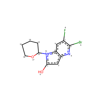 Oc1cc2nc(Br)c(F)cc2n1C1CCCCO1